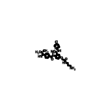 CN(C)C(=N)c1ccc(C(=O)Nc2ccc(OCC(=O)NCCCN)cc2C(O)Nc2ccc(Cl)cn2)cc1